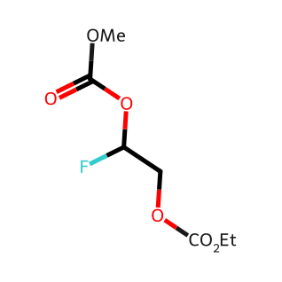 CCOC(=O)OCC(F)OC(=O)OC